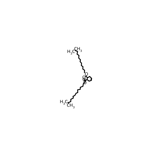 CC(C)CCCCCCCCCCCCOC(=O)C1CC=CCC1C(=O)OCCCCCCCCCCCCC(C)C